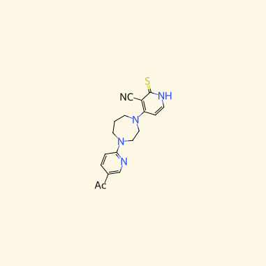 CC(=O)c1ccc(N2CCCN(c3cc[nH]c(=S)c3C#N)CC2)nc1